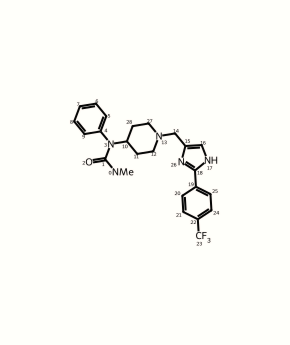 CNC(=O)N(c1ccccc1)C1CCN(Cc2c[nH]c(-c3ccc(C(F)(F)F)cc3)n2)CC1